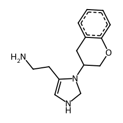 NCCC1=CNCN1C1COc2ccccc2C1